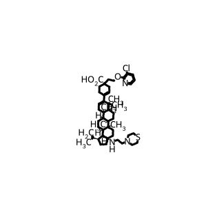 C=C(C)[C@@H]1CC[C@]2(NCCN3CCSCC3)CC[C@]3(C)[C@H](CC[C@@H]4[C@@]5(C)CC=C(C6=CCC(CCOc7ncccc7Cl)(C(=O)O)CC6)C(C)(C)[C@@H]5CC[C@]43C)[C@@H]12